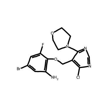 Nc1cc(Br)cc(F)c1OCc1c(Cl)ncnc1N1CCOCC1